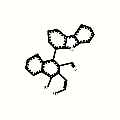 CC/C=C\c1c(C=S)c(-c2cccc3c2oc2ccccc23)c2ccccc2c1Br